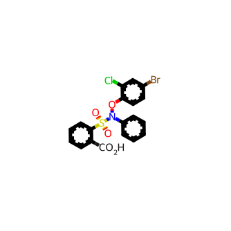 O=C(O)c1ccccc1S(=O)(=O)N(Oc1ccc(Br)cc1Cl)c1ccccc1